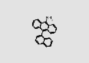 Nc1c2ccccc2c(-c2cccc3ccccc23)c2ccccc12